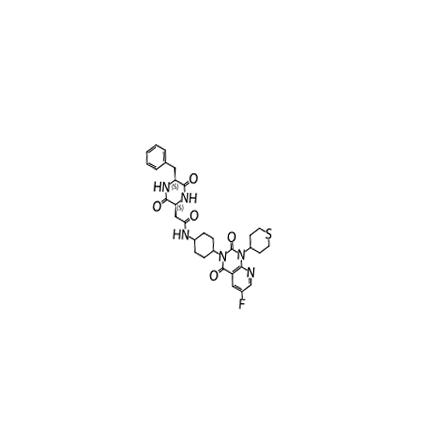 O=C(C[C@@H]1NC(=O)[C@H](Cc2ccccc2)NC1=O)NC1CCC(n2c(=O)c3cc(F)cnc3n(C3CCSCC3)c2=O)CC1